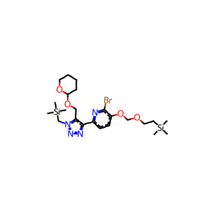 C[Si](C)(C)CCOCOc1ccc(-c2nnn(C[Si](C)(C)C)c2COC2CCCCO2)nc1Br